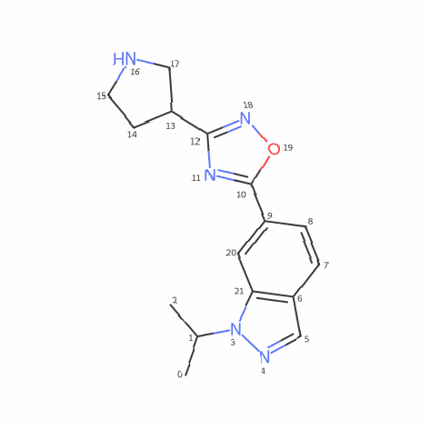 CC(C)n1ncc2ccc(-c3nc(C4CCNC4)no3)cc21